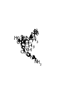 C[C@@H](NC(=O)Cn1cnnn1)[C@H]1C(=O)N2C(C(=O)O)=C(SC3CNC(C(=O)N4CCC(N5CC(CN)C5)CC4)C3)[C@H](C)[C@H]12